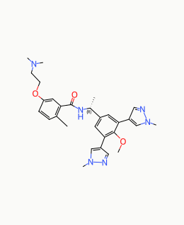 COc1c(-c2cnn(C)c2)cc([C@@H](C)NC(=O)c2cc(OCCN(C)C)ccc2C)cc1-c1cnn(C)c1